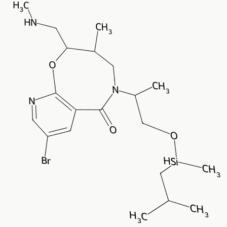 CNCC1Oc2ncc(Br)cc2C(=O)N(C(C)CO[SiH](C)CC(C)C)CC1C